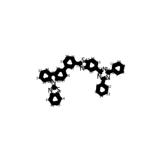 C1=CC(c2nc(-c3ccccc3)nc(-c3ccc4sc(-c5cccc(-c6ccc7c(c6)c6ccccc6n7-c6nc7ccccc7s6)c5)nc4c3)n2)=CCC1